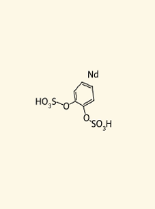 O=S(=O)(O)Oc1ccccc1OS(=O)(=O)O.[Nd]